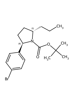 CCC[C@H]1CC[C@H](c2ccc(Br)cc2)N1C(=O)OC(C)(C)C